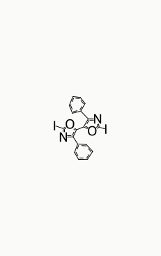 Ic1nc(-c2ccccc2)c(-c2oc(I)nc2-c2ccccc2)o1